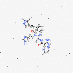 Cc1ccn2nc(N)c(C(=O)N[C@@H](C)c3nc4cccc(C#Cc5cnn(C)c5C)c4c(=O)n3CCc3c[nH]cn3)c2n1